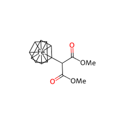 COC(=O)C(C(=O)OC)[C]12[CH]3[CH]4[CH]5[CH]1[Fe]45321678[CH]2[CH]1[CH]6[CH]7[CH]28